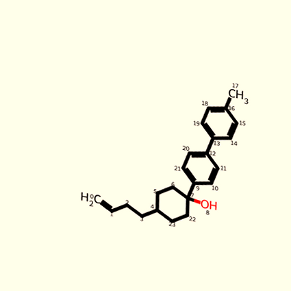 C=CCCC1CCC(O)(c2ccc(-c3ccc(C)cc3)cc2)CC1